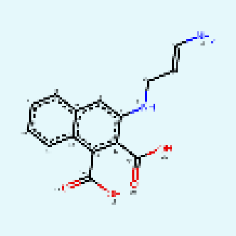 NC=CCNc1cc2ccccc2c(C(=O)O)c1C(=O)O